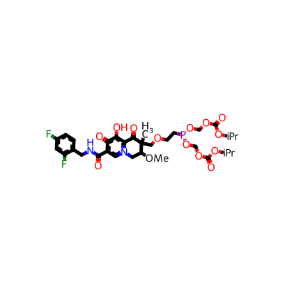 COC1Cn2cc(C(=O)NCc3ccc(F)cc3F)c(=O)c(O)c2C(=O)C1(C)COCCP(OCOC(=O)OC(C)C)OCOC(=O)OC(C)C